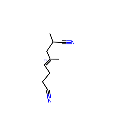 C/C(=C\CCC#N)CC(C)C#N